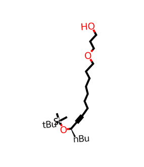 CCCC[C@H](C#CCCCCCCCOCCCO)O[Si](C)(C)C(C)(C)C